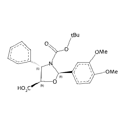 COc1ccc([C@H]2O[C@@H](C(=O)O)[C@H](c3ccccc3)N2C(=O)OC(C)(C)C)cc1OC